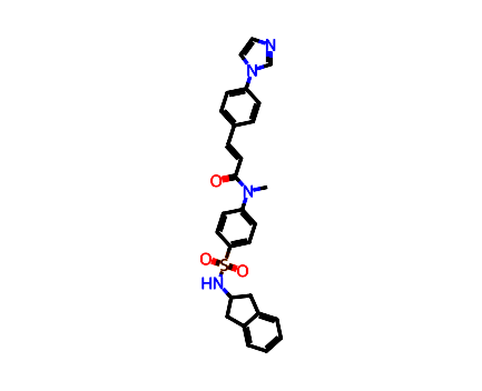 CN(C(=O)C=Cc1ccc(-n2ccnc2)cc1)c1ccc(S(=O)(=O)NC2Cc3ccccc3C2)cc1